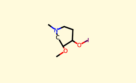 COC1CN(C)CCC1OI